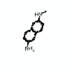 CNc1ccc2cc(N)ccc2c1